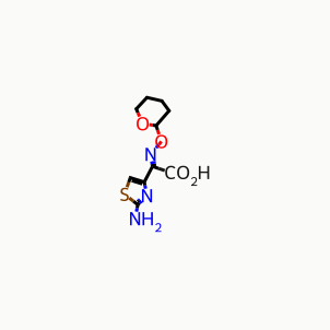 Nc1nc(/C(=N/OC2CCCCO2)C(=O)O)cs1